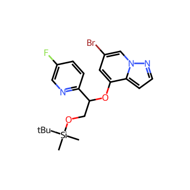 CC(C)(C)[Si](C)(C)OCC(Oc1cc(Br)cn2nccc12)c1ccc(F)cn1